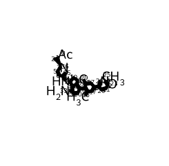 CC(=O)[C@H]1C[C@@H]1c1ccc(N[C@@H]2CCc3c(-c4c(C)cc(-c5ccc(=O)n(C)c5)cc4C)ccc(N)c32)cn1